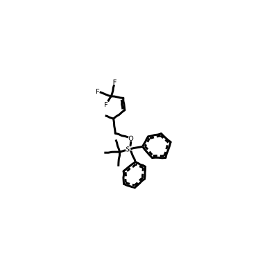 CC(/C=C\C(F)(F)F)CO[Si](c1ccccc1)(c1ccccc1)C(C)(C)C